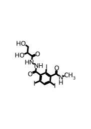 CNC(=O)c1c(I)cc(I)c(C(=O)NNC(=O)C(O)CO)c1I